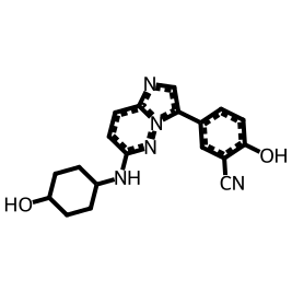 N#Cc1cc(-c2cnc3ccc(NC4CCC(O)CC4)nn23)ccc1O